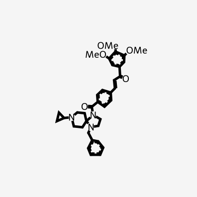 COc1cc(C(=O)/C=C/c2ccc(C(=O)N3CCN(Cc4ccccc4)C34CCN(C3CC3)CC4)cc2)cc(OC)c1OC